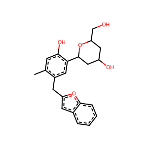 Cc1cc(O)c(C2CC(O)CC(CO)O2)cc1Cc1cc2ccccc2o1